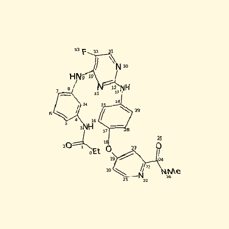 CCC(=O)Nc1cccc(Nc2nc(Nc3ccc(Oc4ccnc(C(=O)NC)c4)cc3)ncc2F)c1